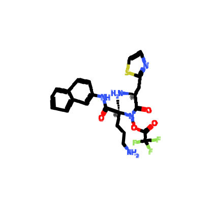 C[C@](CCCN)(C(=O)Nc1ccc2ccccc2c1)N(OC(=O)C(F)(F)F)C(=O)[C@@H](N)Cc1nccs1